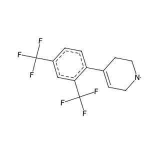 FC(F)(F)c1ccc(C2=CC[N]CC2)c(C(F)(F)F)c1